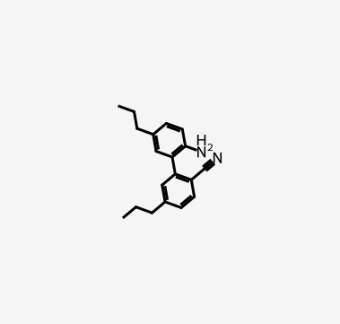 CCCc1ccc(N)c(-c2cc(CCC)ccc2C#N)c1